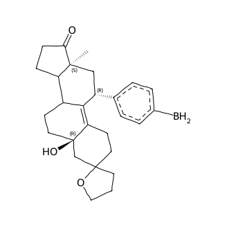 Bc1ccc([C@H]2C[C@]3(C)C(=O)CCC3C3CC[C@@]4(O)CC5(CCCO5)CCC4=C32)cc1